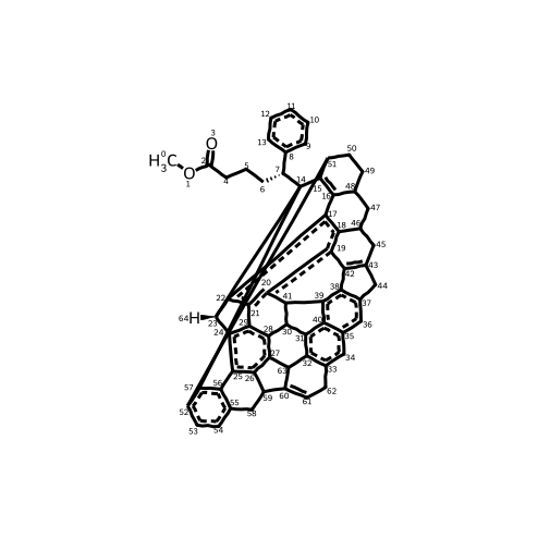 COC(=O)CCC[C@H](c1ccccc1)C12C3=C4c5c6c7c8c9c5[C@@H]1c1c5c%10c%11c(c1-9)C1c9c%12c%13cc%14cc%15c(c(c9%14)C81)C7=C(C%15)CC6CC4CCC3c1ccc(c-5c12)CC%10C(=CC%13)C%11%12